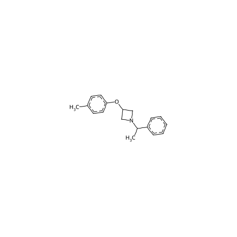 Cc1ccc(OC2CN(C(C)c3ccccc3)C2)cc1